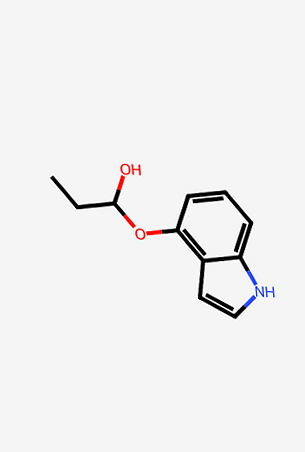 CCC(O)Oc1cccc2[nH]ccc12